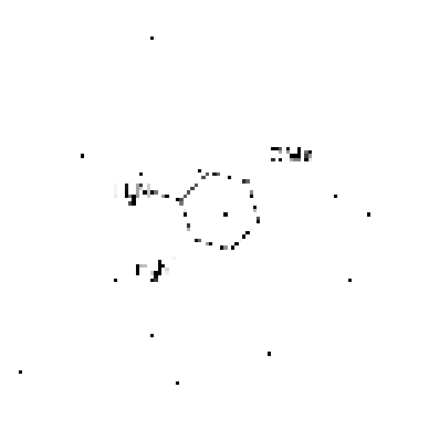 COC1CCC(N)C(N)C1